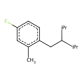 Cc1cc(F)ccc1CC(C(C)C)C(C)C